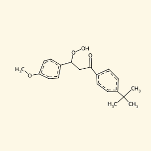 COc1ccc(C(CC(=O)c2ccc(C(C)(C)C)cc2)OO)cc1